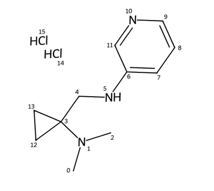 CN(C)C1(CNc2cccnc2)CC1.Cl.Cl